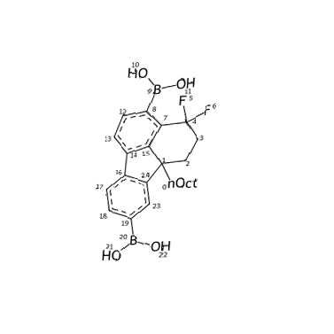 CCCCCCCCC12CCC(F)(F)c3c(B(O)O)ccc(c31)-c1ccc(B(O)O)cc12